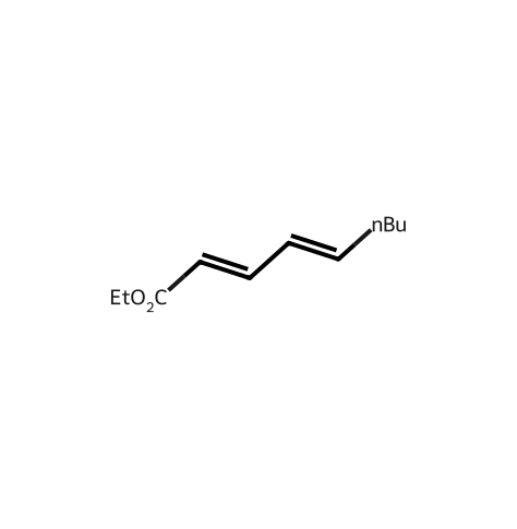 CCCCC=CC=CC(=O)OCC